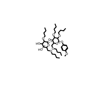 CCCCOCC1O[C@@H](O[C@@H]2C(COCCCC)O[C@@H](Oc3ccc(OC)cc3)C(OCCCC)C2OCCCC)C(OCCCC)C(O)[C@H]1O